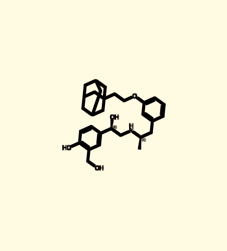 C[C@H](Cc1cccc(OCCC23CC4CC(CC(C4)C2)C3)c1)NC[C@H](O)c1ccc(O)c(CO)c1